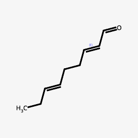 CCC=CCC/C=C/C=O